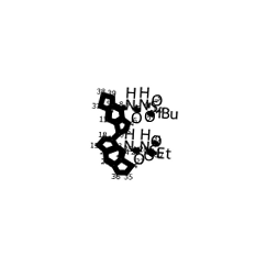 CCC(C)S(=O)(=O)NC(=O)Nc1c2c(cc3c1CCC3C1CCc3cc4c(c(NC(=O)NS(=O)(=O)CC)c31)CCC4)CCC2